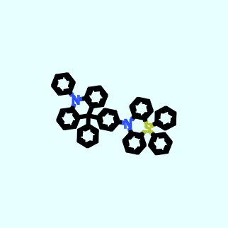 c1ccc(N2c3ccccc3C(c3ccccc3)(c3ccc(N4c5ccccc5S(c5ccccc5)(c5ccccc5)c5ccccc54)cc3)c3ccccc32)cc1